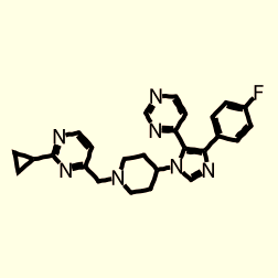 Fc1ccc(-c2ncn(C3CCN(Cc4ccnc(C5CC5)n4)CC3)c2-c2ccncn2)cc1